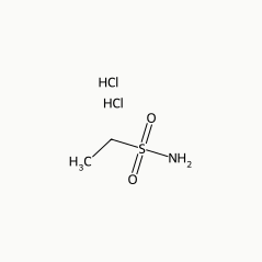 CCS(N)(=O)=O.Cl.Cl